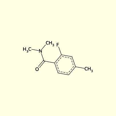 Cc1ccc(C(=O)N(C)C)c(F)c1